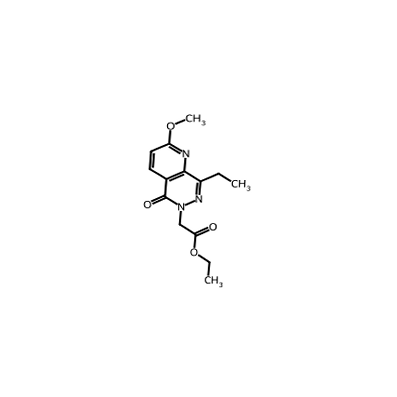 CCOC(=O)Cn1nc(CC)c2nc(OC)ccc2c1=O